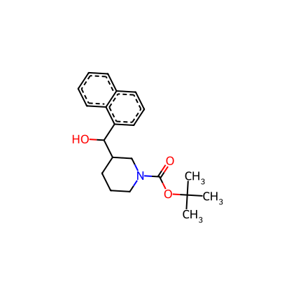 CC(C)(C)OC(=O)N1CCCC(C(O)c2cccc3ccccc23)C1